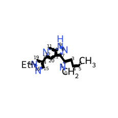 C=N/C(=C\C=C/C)c1n[nH]c2cnc(-c3cnn(CC)c3)cc12